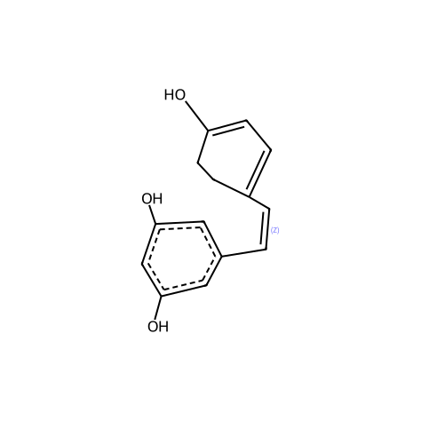 OC1=CC=C(/C=C\c2cc(O)cc(O)c2)CC1